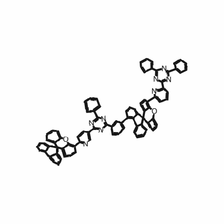 c1ccc(-c2nc(-c3ccc(-c4cccc5c4Oc4ccccc4C54c5ccccc5-c5ccccc54)nc3)nc(-c3cccc(-c4cccc5c4-c4ccccc4C54c5ccccc5Oc5c(-c6cccc(-c7nc(-c8ccccc8)nc(-c8ccccc8)n7)n6)cccc54)c3)n2)cc1